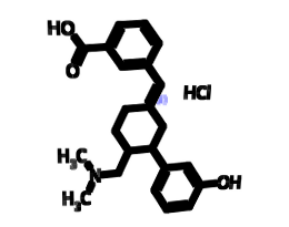 CN(C)CC1CC/C(=C\c2cccc(C(=O)O)c2)CC1c1cccc(O)c1.Cl